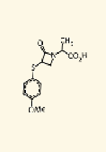 COc1ccc(SC2CN(C(C)C(=O)O)C2=O)cc1